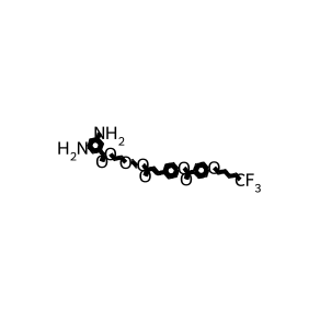 Nc1cc(N)cc(C(=O)OCCOCCOC(=O)C=Cc2ccc(OC(=O)c3ccc(OCCCCC(F)(F)F)cc3)cc2)c1